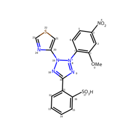 COc1cc([N+](=O)[O-])ccc1-[n+]1nc(-c2ccccc2S(=O)(=O)O)nn1-c1cscn1